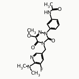 COc1nn(-c2cccc(NC(C)=O)c2)c(=O)n(Cc2cnc(N(C)C)c(F)c2)c1=O